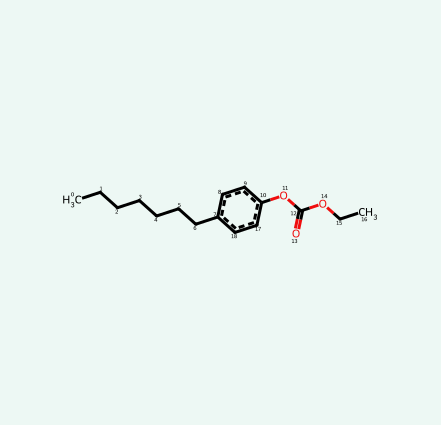 CCCCCCCc1ccc(OC(=O)OCC)cc1